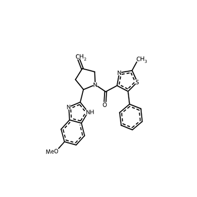 C=C1CC(c2nc3cc(OC)ccc3[nH]2)N(C(=O)c2nc(C)sc2-c2ccccc2)C1